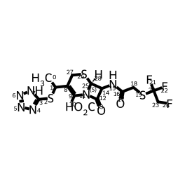 CC(Sc1nnn[nH]1)C1=C(C(=O)O)N2C(=O)C(NC(=O)CSC(F)(F)CF)[C@@H]2SC1